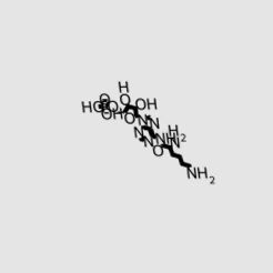 NCCCC[C@H](N)C(=O)Nc1ncnc2c1ncn2[C@@H]1O[C@H](COP(=O)(O)O)[C@@H](O)[C@H]1O